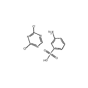 Clc1ncnc(Cl)n1.Nc1cccc(S(=O)(=O)O)c1